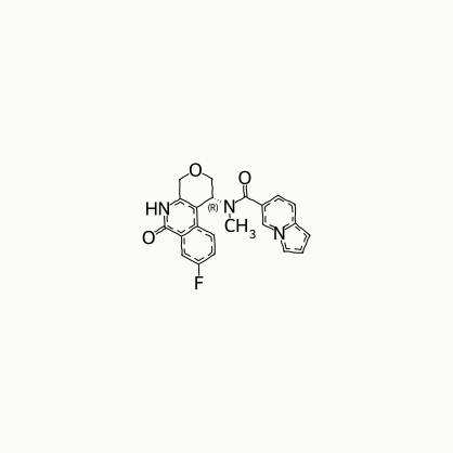 CN(C(=O)c1ccc2cccn2c1)[C@H]1COCc2[nH]c(=O)c3cc(F)ccc3c21